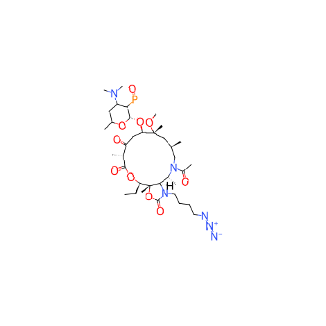 CC[C@H]1OC(=O)[C@H](C)C(=O)C[C@@H](O[C@@H]2OC(C)CC(N(C)C)C2P=O)[C@](C)(OC)C[C@@H](C)CN(C(C)=O)[C@H](C)[C@H]2N(CCCCN=[N+]=[N-])C(=O)O[C@]12C